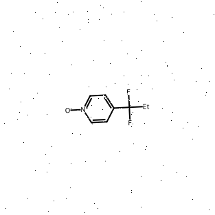 CCC(F)(F)c1cc[n+]([O-])cc1